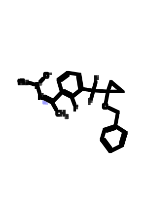 C/C(=N/[S+]([O-])C(C)(C)C)c1cccc(C(F)(F)C2(OCc3ccccc3)CC2)c1F